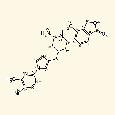 Cc1nc(-n2cnc(CN3C[C@@H](c4ccc5c(c4C)COC5=O)N[C@@H](N)C3)c2)ncc1C#N